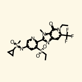 CCn1c(C(F)(F)F)cc2nc(-c3ncc(N=S(C)(=O)C4CC4)cc3S(=O)(=O)CC)n(C)c2c1=O